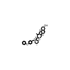 CC1=C2C[C@H]3C(CC=C4C[C@@H](O)CC[C@@]43C)[C@@H]2CC[C@@]2(C1)OC1C[C@H](C)CN(Cc3ccc(Oc4ccccc4)cc3)[C@H]1[C@H]2C